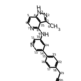 Cc1n[nH]c2ccnc(Nc3cncc(-c4ccc(CC#N)cc4)c3)c12